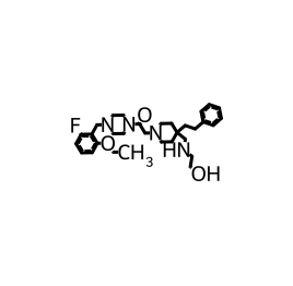 CCOc1cccc(F)c1CN1CCN(C(=O)CN2CCC(CCc3ccccc3)(CNCCO)CC2)CC1